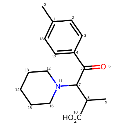 Cc1ccc(C(=O)C(C(C)C(=O)O)N2CCCCC2)cc1